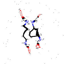 O=C=NC1=CC(N=C=O)CC1.O=C=NCCCCN=C=O